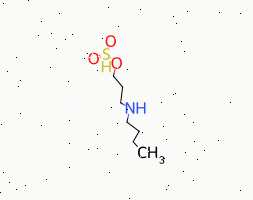 CCCCNCCCO[SH](=O)=O